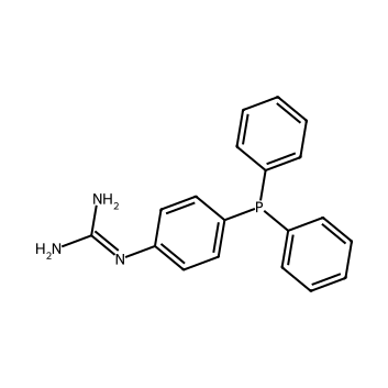 NC(N)=Nc1ccc(P(c2ccccc2)c2ccccc2)cc1